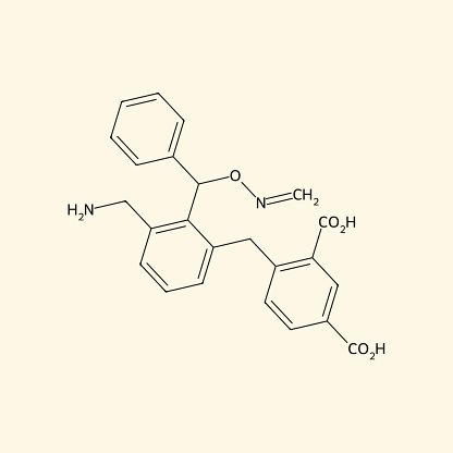 C=NOC(c1ccccc1)c1c(CN)cccc1Cc1ccc(C(=O)O)cc1C(=O)O